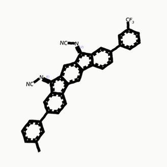 Cc1cccc(-c2ccc3c(c2)/c(=N\C#N)c2cc4/c(=N\C#N)c5cc(-c6cccc(C(F)(F)F)c6)ccc5c4cc23)c1